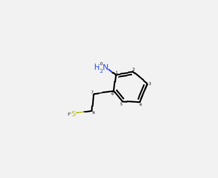 Nc1ccccc1CC[S]